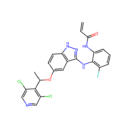 C=CC(=O)Nc1cccc(F)c1Nc1n[nH]c2ccc(OC(C)c3c(Cl)cncc3Cl)cc12